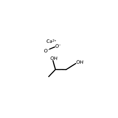 CC(O)CO.[Ca+2].[O-][O-]